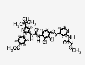 COCC(=O)Nc1cc(COc2ccc(NC(=O)Nc3cc(C(C)(C)C)nn3-c3ccc(OC)cc3)c(Cl)c2Cl)ccn1